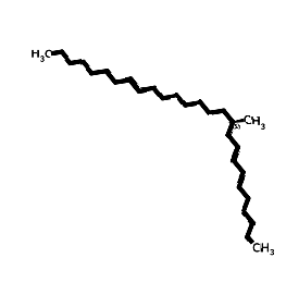 CCCCCCCCCCCCCCCC[C@@H](C)CCCCCCCCCC